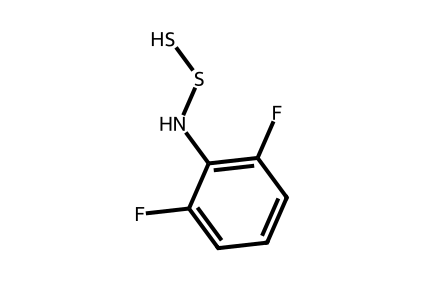 Fc1cccc(F)c1NSS